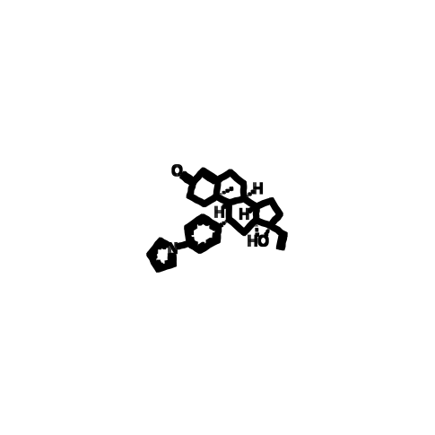 C=C[C@]1(O)CC[C@H]2[C@@H]3CCC4=CC(=O)CC[C@]4(C)[C@H]3[C@@H](c3ccc(-n4cccc4)cc3)C[C@@]21C